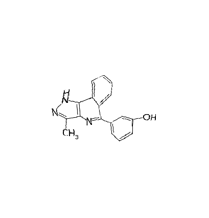 Cc1n[nH]c2c1nc(-c1cccc(O)c1)c1ccccc12